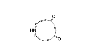 O=C1C=CC=NNSC=CC(=O)C=C1